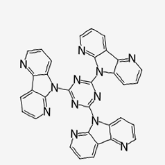 c1cnc2c(c1)c1ncccc1n2-c1nc(-n2c3cccnc3c3cccnc32)nc(-n2c3cccnc3c3cccnc32)n1